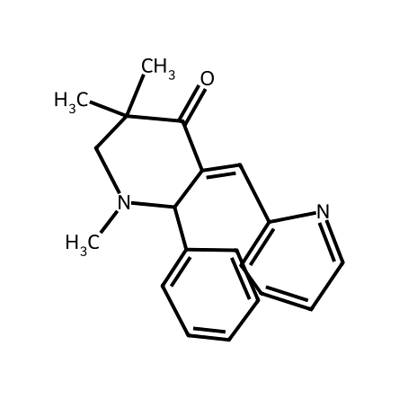 CN1CC(C)(C)C(=O)/C(=C/c2ccccn2)C1c1ccccc1